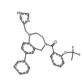 O=C(c1ccccc1OC(F)(F)F)N1CCN(Cc2c[nH]cn2)c2ccc(-c3ccccc3)cc2C1